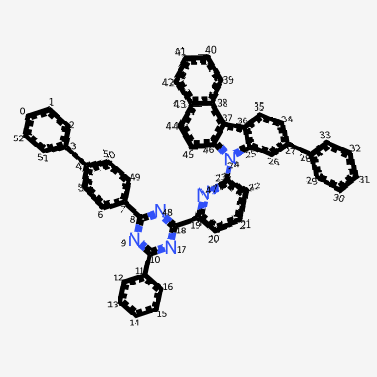 c1ccc(-c2ccc(-c3nc(-c4ccccc4)nc(-c4cccc(-n5c6cc(-c7ccccc7)ccc6c6c7ccccc7ccc65)n4)n3)cc2)cc1